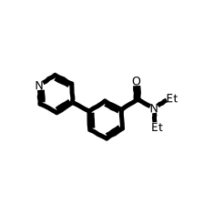 CCN(CC)C(=O)c1cccc(-c2ccncc2)c1